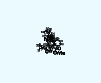 COC(=O)c1cc(C2CC2)c2nc(N3C4CC(NCc5c(-c6ccccc6OC(F)(F)F)noc5C5CC5)CC3C4)sc2c1